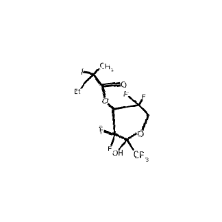 CCC(C)(I)C(=O)OC1C(F)(F)COC(O)(C(F)(F)F)C1(F)F